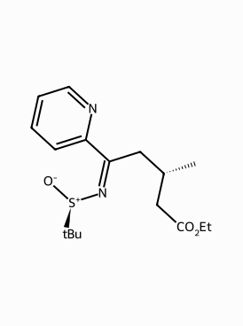 CCOC(=O)C[C@@H](C)C/C(=N/[S@+]([O-])C(C)(C)C)c1ccccn1